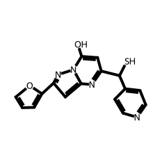 Oc1cc(C(S)c2ccncc2)nc2cc(-c3ccco3)nn12